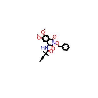 CC#CC(C)(C)C(=O)NC1C(=O)N(OCc2ccccc2)C(=O)c2cc(OC)c(OC)cc21